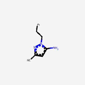 CC(C)CCn1nc(C#N)cc1N